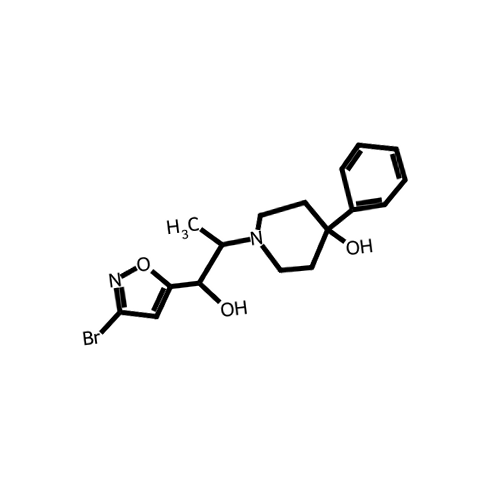 CC(C(O)c1cc(Br)no1)N1CCC(O)(c2ccccc2)CC1